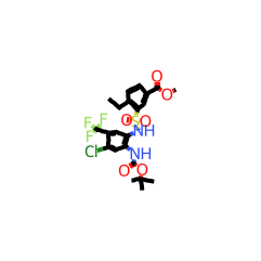 CCc1ccc(C(=O)OC)cc1S(=O)(=O)Nc1cc(C(F)(F)F)c(Cl)cc1NC(=O)OC(C)(C)C